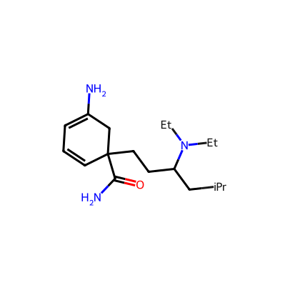 CCN(CC)C(CCC1(C(N)=O)C=CC=C(N)C1)CC(C)C